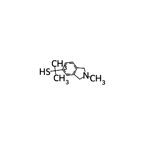 CN1Cc2ccc(C(C)(C)S)cc2C1